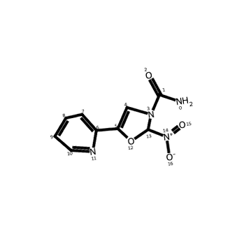 NC(=O)N1C=C(c2ccccn2)OC1[N+](=O)[O-]